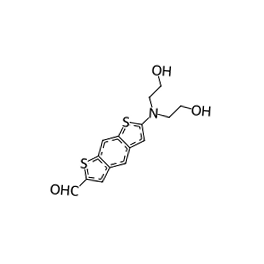 O=Cc1cc2cc3cc(N(CCO)CCO)sc3cc2s1